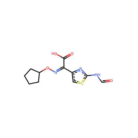 O=CNc1nc(/C(=N/OC2CCCC2)C(=O)O)cs1